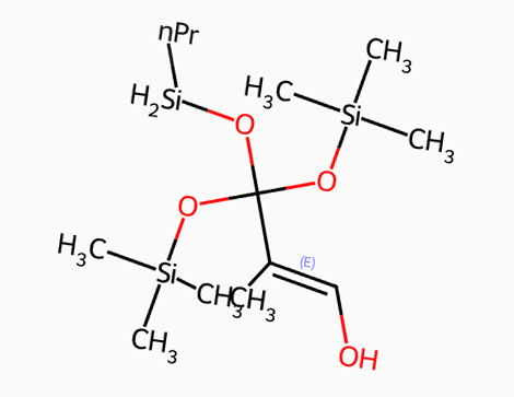 CCC[SiH2]OC(O[Si](C)(C)C)(O[Si](C)(C)C)/C(C)=C/O